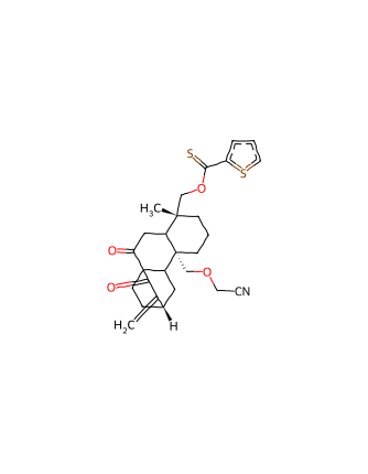 C=C1C(=O)C23CC[C@H]1CC2[C@]1(COCC#N)CCC[C@@](C)(COC(=S)c2cccs2)C1CC3=O